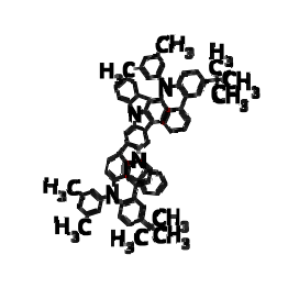 Cc1cc(C)cc(N(c2ccc(C(C)(C)C)cc2-c2ccccc2)c2ccc3c4cc5c(cc4n4c6ccccc6c2c34)c2ccc(N(c3cc(C)cc(C)c3)c3ccc(C(C)(C)C)cc3-c3ccccc3)c3c4ccccc4n5c23)c1